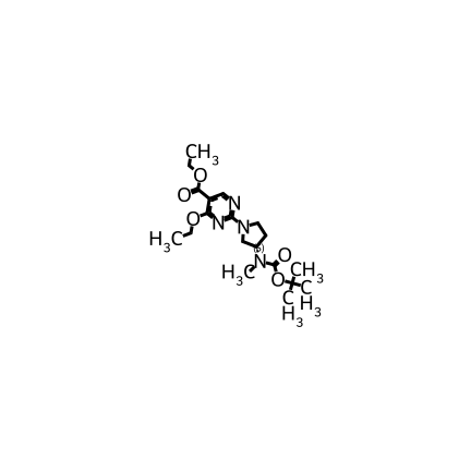 CCOC(=O)c1cnc(N2CC[C@H](N(C)C(=O)OC(C)(C)C)C2)nc1OCC